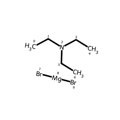 CCN(CC)CC.[Br][Mg][Br]